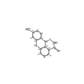 O=C1NCN2c3ccc(S)cc3Sc3cccc1c32